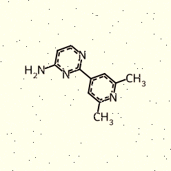 Cc1cc(-c2nccc(N)n2)cc(C)n1